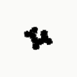 c1ccc(CC2c3ccccc3-c3cc(-c4ccc5c(c4)c4cc(-c6nc(-c7ccccc7)nc(-c7ccccc7)n6)ccc4n5-c4ccccc4)ccc32)cc1